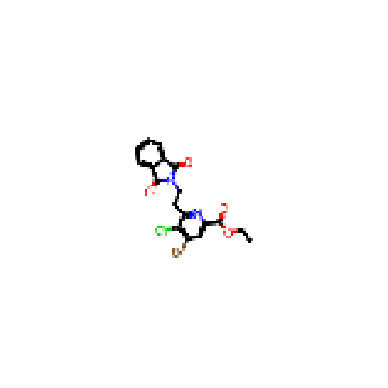 CCOC(=O)c1cc(Br)c(Cl)c(CCN2C(=O)c3ccccc3C2=O)n1